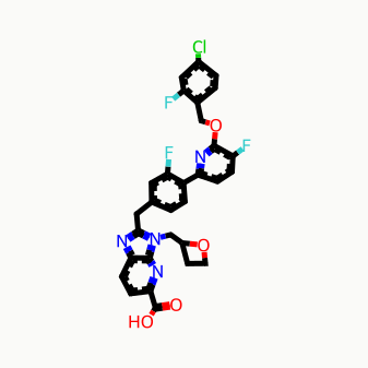 O=C(O)c1ccc2nc(Cc3ccc(-c4ccc(F)c(OCc5ccc(Cl)cc5F)n4)c(F)c3)n(CC3CCO3)c2n1